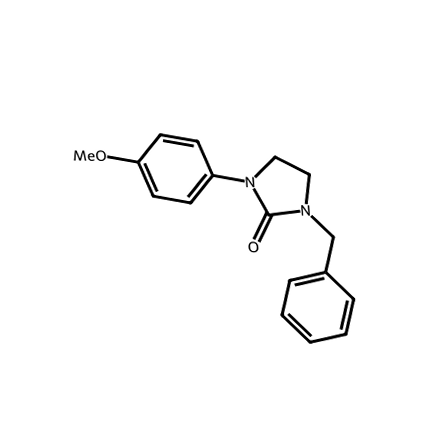 COc1ccc(N2CCN(Cc3ccccc3)C2=O)cc1